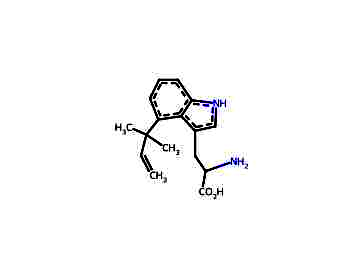 C=CC(C)(C)c1cccc2[nH]cc(CC(N)C(=O)O)c12